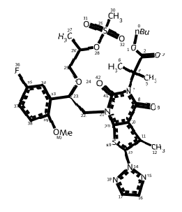 CCCCOC(=O)C(C)(C)n1c(=O)c2c(C)c(-n3nccn3)sc2n(C[C@H](OCC(C)OS(C)(=O)=O)c2cc(F)ccc2OC)c1=O